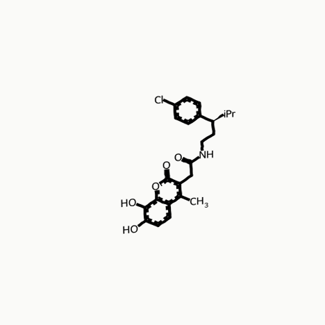 Cc1c(CC(=O)NCC[C@@H](c2ccc(Cl)cc2)C(C)C)c(=O)oc2c(O)c(O)ccc12